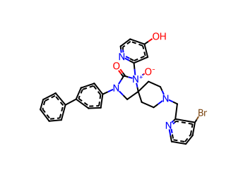 O=C1N(c2ccc(-c3ccccc3)cc2)CC2(CCN(Cc3ncccc3Br)CC2)[N+]1([O-])c1cc(O)ccn1